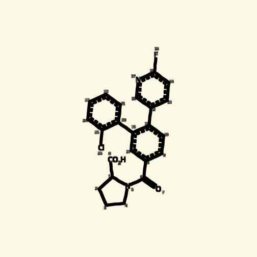 O=C(O)C1CCCN1C(=O)c1ccc(-c2ccc(F)nc2)c(-c2ccccc2Cl)c1